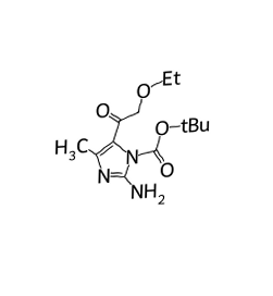 CCOCC(=O)c1c(C)nc(N)n1C(=O)OC(C)(C)C